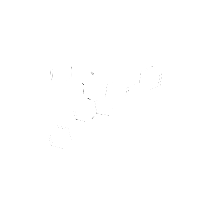 C#C[C@H](OC(=O)c1ccccc1)[C@@H]1O[C@H](OC)[C@@H](OC(=O)c2ccccc2)[C@H]1OC(=O)c1ccccc1